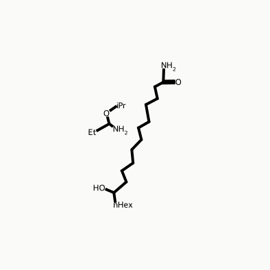 CCC(N)OC(C)C.CCCCCCC(O)CCCCCCCCCCC(N)=O